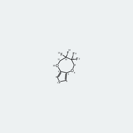 FC1(F)COc2cscc2OCC1(F)F